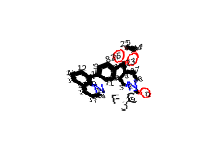 O=C(N1CCC(C2(c3ccc(-c4cccc5cccnc45)cc3)OCCO2)CC1)C(F)(F)F